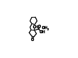 CC1(C(=O)O)CC2OC2CC1CC1CCCCC1.O